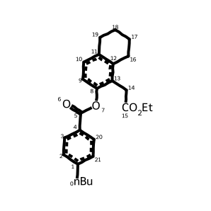 CCCCc1ccc(C(=O)Oc2ccc3c(c2CC(=O)OCC)CCCC3)cc1